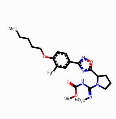 COCCCCOc1ccc(-c2noc(C3CCCN3C(=NC(=O)O)NC(=O)OC(C)(C)C)n2)cc1C(F)(F)F